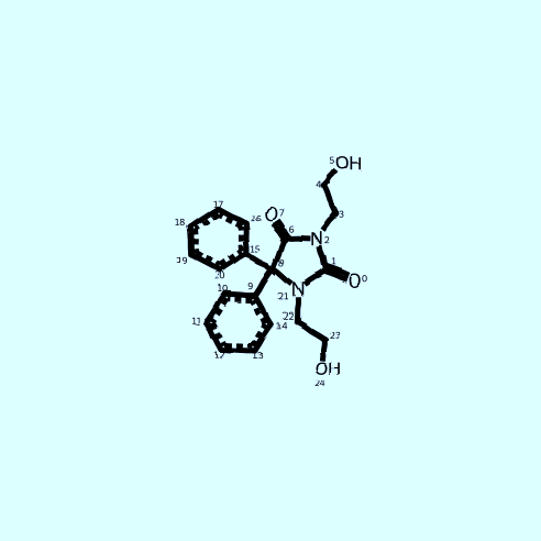 O=C1N(CCO)C(=O)C(c2ccccc2)(c2ccccc2)N1CCO